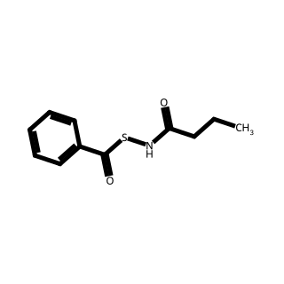 CCCC(=O)NSC(=O)c1ccccc1